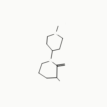 O=C(O)N1CCC(N2CCCC(O)C2=O)CC1